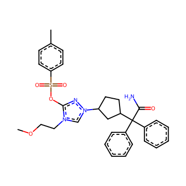 COCC[n+]1cn(C2CCC(C(C(N)=O)(c3ccccc3)c3ccccc3)C2)nc1OS(=O)(=O)c1ccc(C)cc1